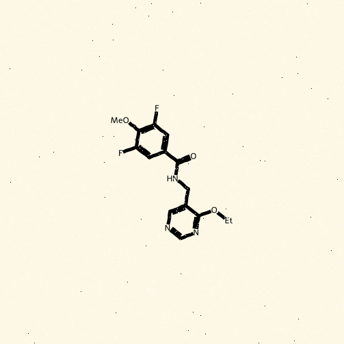 CCOc1ncncc1CNC(=O)c1cc(F)c(OC)c(F)c1